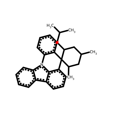 CC(C)CC1CC(C)CC(C)C12c1ccccc1-n1c3ccccc3c3cccc2c31